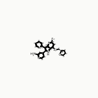 Nc1cc(-c2[nH]c3c(OC[C@H]4CCCO4)cc(F)nc3c2-c2ccccn2)ccn1